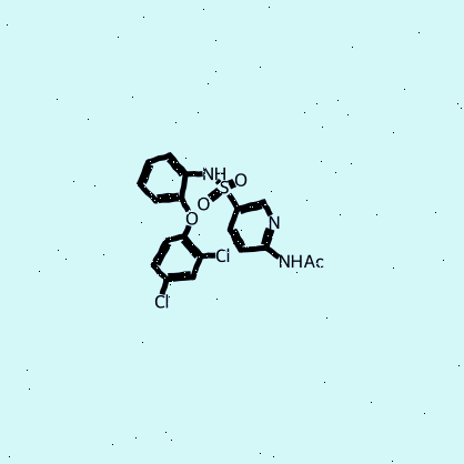 CC(=O)Nc1ccc(S(=O)(=O)Nc2ccccc2Oc2ccc(Cl)cc2Cl)cn1